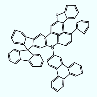 c1ccc(-c2ccc(N(c3ccc4c5ccccc5c5ccccc5c4c3)c3cc4c(cc3-c3ccc5c(c3)sc3ccccc35)-c3ccccc3C43c4ccccc4-c4ccccc43)cc2)cc1